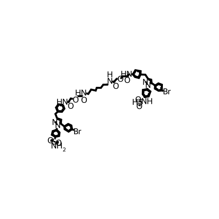 NS(=O)(=O)c1ccc(-n2nc(Cc3ccc(NC(=O)COCC(=O)NCCCCCCCNC(=O)COCC(=O)Nc4ccc(Cc5cc(-c6ccc(Br)cc6)n(-c6ccc(N[SH](=O)=O)cc6)n5)cc4)cc3)cc2-c2ccc(Br)cc2)cc1